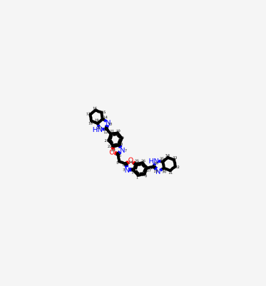 c1cc2nc(Cc3nc4ccc(C5=NC6CCCCC6N5)cc4o3)oc2cc1C1=NC2CCCCC2N1